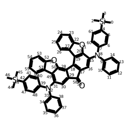 C[Si](C)(C)c1ccc(N(c2ccccc2)c2cc3c(c4c2oc2ccccc24)-c2c(cc(N(c4ccccc4)c4ccc([Si](C)(C)C)cc4)c4c2oc2ccccc24)C3=O)cc1